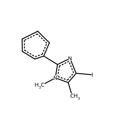 Cc1c(I)nc(-c2ccccc2)n1C